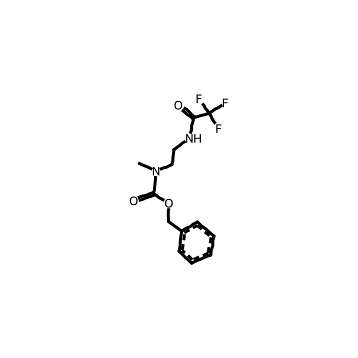 CN(CCNC(=O)C(F)(F)F)C(=O)OCc1ccccc1